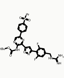 CC(C)S(=O)(=O)c1ccc(-c2cnc(NC(=O)OC(C)(C)C)c(-c3cc(-c4c(F)cc(CNC(=N)N)cc4F)no3)n2)cc1